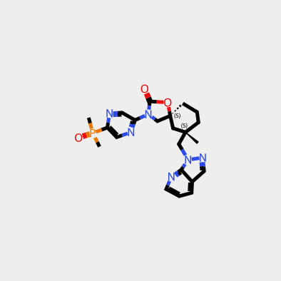 C[C@]1(Cn2ncc3cccnc32)CCC[C@@]2(CN(c3cnc(P(C)(C)=O)cn3)C(=O)O2)C1